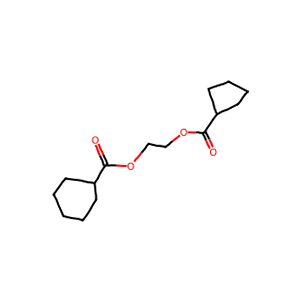 O=C(OCCOC(=O)C1CCCC1)C1CCCCC1